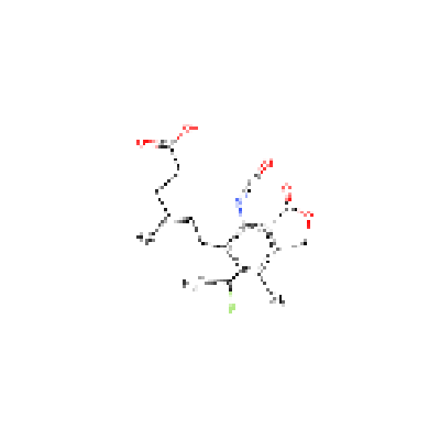 C=C(F)c1c(C)c2c(c(N=C=O)c1C/C=C(\C)CCC(=O)O)C(=O)OC2